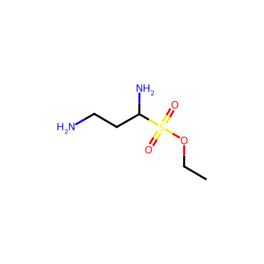 CCOS(=O)(=O)C(N)CCN